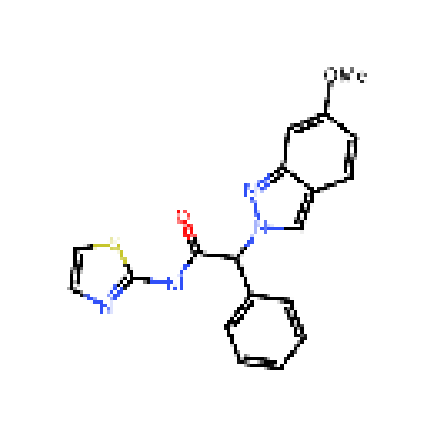 COc1ccc2cn(C(C(=O)Nc3nccs3)c3ccccc3)nc2c1